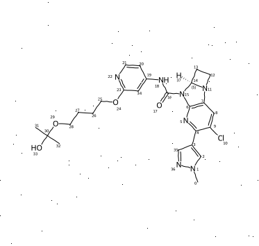 Cn1cc(-c2nc3c(cc2Cl)N2CC[C@@H]2N3C(=O)Nc2ccnc(OCCCCOC(C)(C)O)c2)cn1